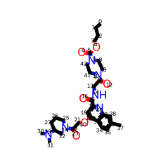 CCCCOC(=O)N1CCN(C(=O)CNC(=O)c2cc(OCC(=O)N3CCCC(N(C)C)C3)c3ccc(C)cc3n2)CC1